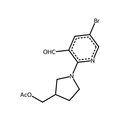 CC(=O)OCC1CCN(c2ncc(Br)cc2C=O)C1